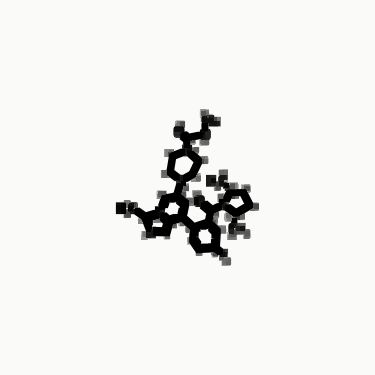 Cc1ncc2c(-c3ccc(F)cc3C(=O)N3[C@H](C)CC[C@@H]3C)cc(N3CCN(C(=O)OC(C)(C)C)CC3)cn12